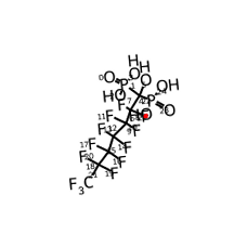 O=P(O)(O)C(O)(C(F)(F)C(F)(F)C(F)(F)C(F)(F)C(F)(F)C(F)(F)F)P(=O)(O)O